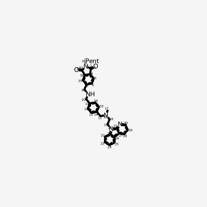 CCCC(C)N1C(=O)c2ccc(CNCc3ccc(CN(C)CCn4c5ccccc5c5cccnc54)cc3)cc2C1=O